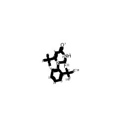 CC(C)(C)C1=CC(=O)NCN1c1ccccc1C(F)(F)F